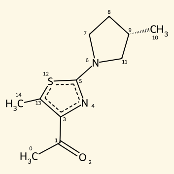 CC(=O)c1nc(N2CC[C@H](C)C2)sc1C